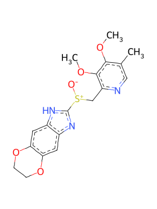 COc1c(C)cnc(C[S+]([O-])c2nc3cc4c(cc3[nH]2)OCCO4)c1OC